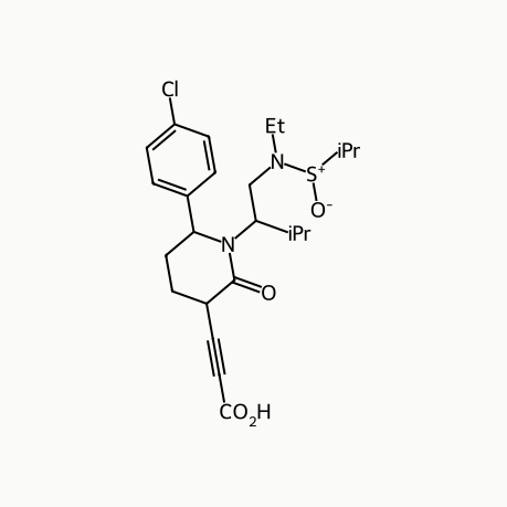 CCN(CC(C(C)C)N1C(=O)C(C#CC(=O)O)CCC1c1ccc(Cl)cc1)[S+]([O-])C(C)C